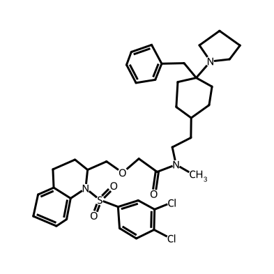 CN(CCC1CCC(Cc2ccccc2)(N2CCCC2)CC1)C(=O)COCC1CCc2ccccc2N1S(=O)(=O)c1ccc(Cl)c(Cl)c1